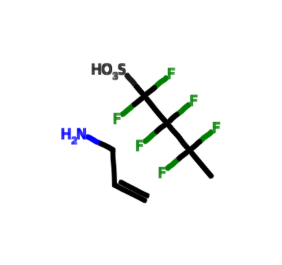 C=CCN.CC(F)(F)C(F)(F)C(F)(F)S(=O)(=O)O